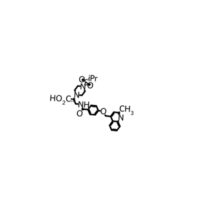 Cc1cc(COc2ccc(C(=O)NC[C@@H](C(=O)O)N3CCN(S(=O)(=O)C(C)C)CC3)cc2)c2ccccc2n1